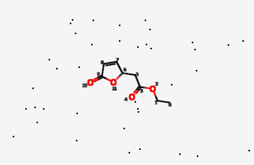 CCOC(=O)CC1C=CC(=O)O1